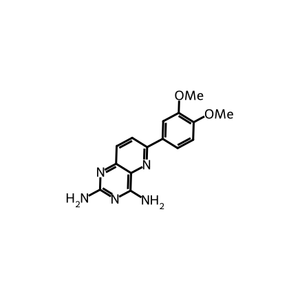 COc1ccc(-c2ccc3nc(N)nc(N)c3n2)cc1OC